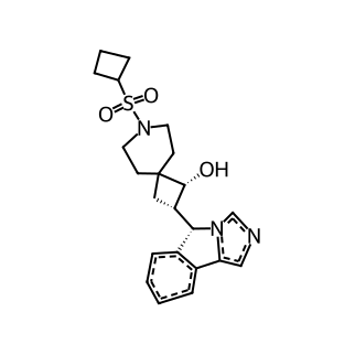 O=S(=O)(C1CCC1)N1CCC2(CC1)C[C@@H]([C@H]1c3ccccc3-c3cncn31)[C@H]2O